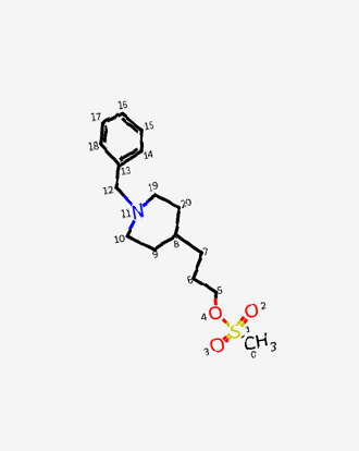 CS(=O)(=O)OCCCC1CCN(Cc2ccccc2)CC1